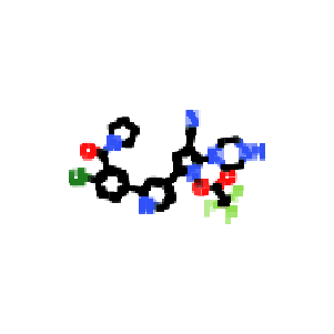 N#Cc1cc(-c2ccnc(-c3ccc(Cl)c(C(=O)N4CCCC4)c3)c2)n(OC(=O)C(F)(F)F)c1N1CCNCC1